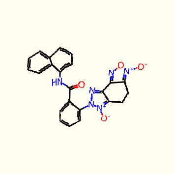 O=C(Nc1cccc2ccccc12)c1ccccc1-n1nc2c([n+]1[O-])CCc1c-2no[n+]1[O-]